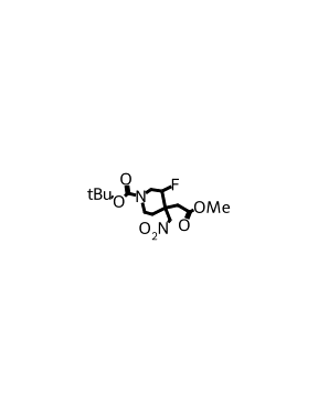 COC(=O)CC1(C[N+](=O)[O-])CCN(C(=O)OC(C)(C)C)CC1F